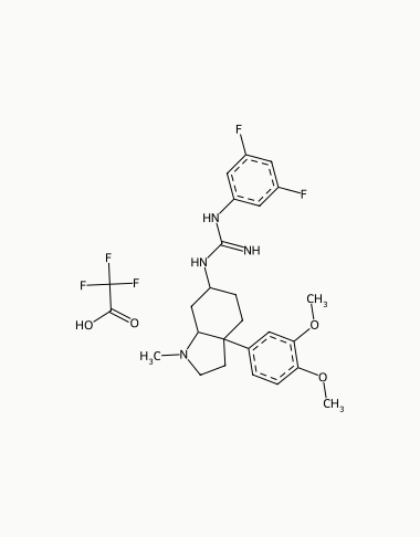 COc1ccc(C23CCC(NC(=N)Nc4cc(F)cc(F)c4)CC2N(C)CC3)cc1OC.O=C(O)C(F)(F)F